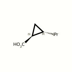 CC(C)[C@H]1C[C@@H]1C(=O)O